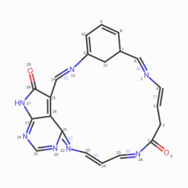 O=C1C/C=C/N=C/C2C=CC=C(C2)/N=C/C2=c3c(ncn\c3=N/C=C/C=N/1)NC2=O